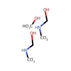 O=C(O)O.OCNC(Cl)(Cl)Cl.OCNC(Cl)(Cl)Cl